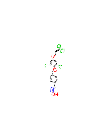 ON=Cc1ccc(COc2c(Cl)cc(OCC=C(Cl)Cl)cc2Cl)cc1